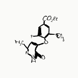 CCOC(=O)c1cc(C)c(Oc2cc(C)n[nH]c2=O)c(F)c1